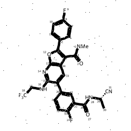 CNC(=O)c1c(-c2ccc(F)cc2)oc2nc(NCC(F)(F)F)c(-c3ccc(F)c(C(=O)N[C@@H](C)C#N)c3)cc12